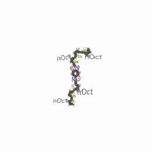 CCCCCCCCc1ccsc1-c1ccc(-c2sc(-c3nc4cc5oc(-c6cc(CCCCCCCC)c(-c7ccc(-c8sccc8CCCCCCCC)s7)s6)nc5cc4o3)cc2CCCCCCCC)s1